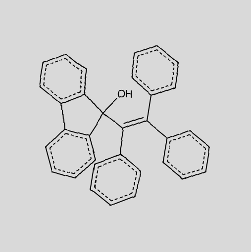 OC1(C(=C(c2ccccc2)c2ccccc2)c2ccccc2)c2ccccc2-c2ccccc21